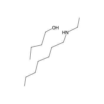 CCCCCCCNCC.CCCCO